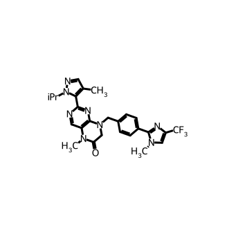 Cc1cnn(C(C)C)c1-c1ncc2c(n1)N(Cc1ccc(-c3nc(C(F)(F)F)cn3C)cc1)CC(=O)N2C